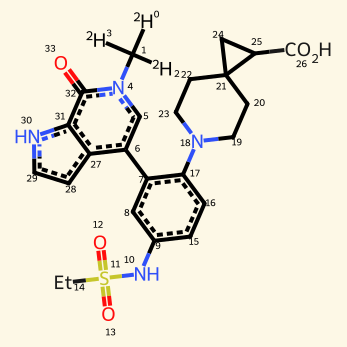 [2H]C([2H])([2H])n1cc(-c2cc(NS(=O)(=O)CC)ccc2N2CCC3(CC2)CC3C(=O)O)c2cc[nH]c2c1=O